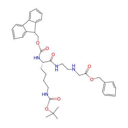 CC(C)(C)OC(=O)NCCCC[C@H](NC(=O)OCC1c2ccccc2-c2ccccc21)C(=O)NCCNCC(=O)OCc1ccccc1